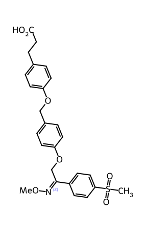 CO/N=C(\COc1ccc(COc2ccc(CCC(=O)O)cc2)cc1)c1ccc(S(C)(=O)=O)cc1